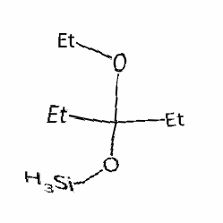 CCOC(CC)(CC)O[SiH3]